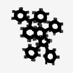 c1ccc(-c2nn3c(-c4ccccc4)cc4c(N(c5ccccc5)c5ccccc5)cccc4c3c2-c2ccccc2)cc1